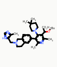 Cc1nc[nH]c1CN1CCc2cc(-c3c(C)nc(C)c(C(OC(C)(C)C)C(=O)O)c3N3CCC(C)(C)CC3)ccc2C1